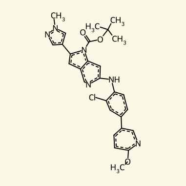 COc1ccc(-c2ccc(Nc3cc4c(cn3)cc(-c3cnn(C)c3)n4C(=O)OC(C)(C)C)c(Cl)c2)cn1